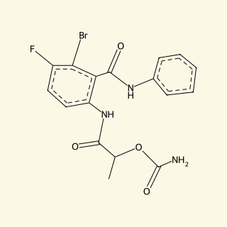 CC(OC(N)=O)C(=O)Nc1ccc(F)c(Br)c1C(=O)Nc1ccccc1